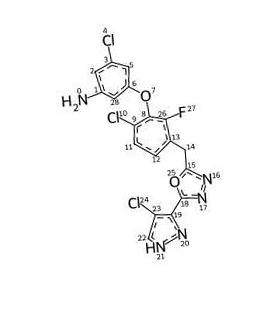 Nc1cc(Cl)cc(Oc2c(Cl)ccc(Cc3nnc(-c4n[nH]cc4Cl)o3)c2F)c1